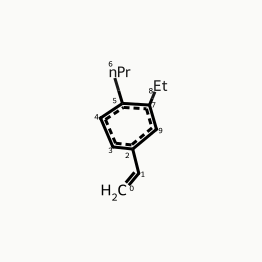 C=Cc1ccc(CCC)c(CC)c1